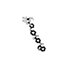 CC(C)(C)OC(=O)N1CCCC(Sc2ccc(NC(=O)c3ccc(Nc4ccnc5ccccc45)cc3)cc2)C1